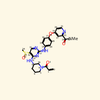 C=CC(=O)N1CCC[C@@H](Nc2nc(Nc3ccc(Oc4ccnc(C(=O)NC)c4)cc3)ncc2[S+](C)[O-])C1